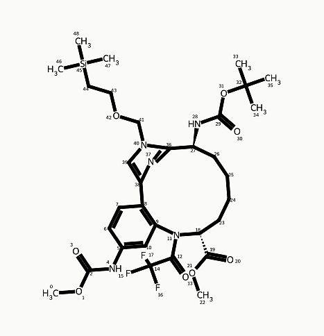 COC(=O)Nc1ccc2c(c1)N(C(=O)C(F)(F)F)[C@@H](C(=O)OC)CCCC[C@H](NC(=O)OC(C)(C)C)c1nc-2cn1COCC[Si](C)(C)C